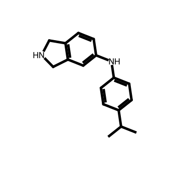 CC(C)c1ccc(Nc2ccc3c(c2)CNC3)cc1